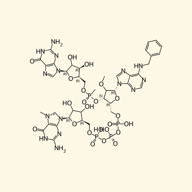 COC1[C@@H](OP(C)(=O)OC[C@H]2O[C@@H](n3cnc4c(=O)[nH]c(N)nc43)C(O)[C@H]2O)[C@@H](COP(=O)(O)OP(=O)(O)OP(=O)(O)OC[C@H]2O[C@@H](n3c[n+](C)c4c(=O)[nH]c(N)nc43)C(O)C2O)O[C@H]1n1cnc2c(NCc3ccccc3)ncnc21